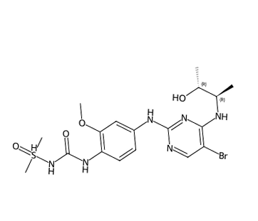 COc1cc(Nc2ncc(Br)c(N[C@H](C)[C@@H](C)O)n2)ccc1NC(=O)N[SH](C)(C)=O